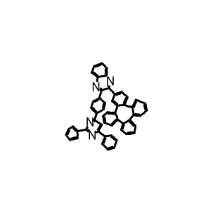 c1ccc(-c2cc(-c3ccc(-c4nc5ccccc5nc4-c4ccc5c(c4)-c4ccccc4-c4ccccc4-c4ccccc4-5)cc3)nc(-c3ccccc3)n2)cc1